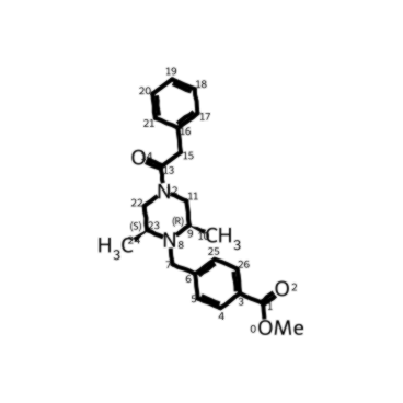 COC(=O)c1ccc(CN2[C@H](C)CN(C(=O)Cc3ccccc3)C[C@@H]2C)cc1